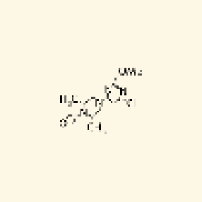 COCc1nc(Cl)cc(N2CC(C)N(C3COC3)C(C)C2)n1